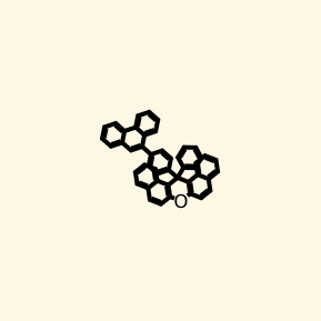 c1ccc(C2(c3ccc(-c4cc5ccccc5c5ccccc45)cc3)c3c(ccc4ccccc34)Oc3ccc4ccccc4c32)cc1